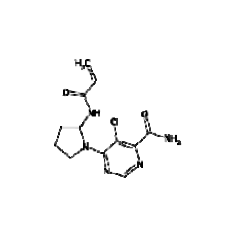 C=CC(=O)NC1CCCN1c1ncnc(C(N)=O)c1Cl